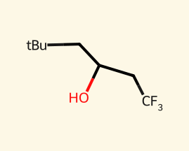 CC(C)(C)CC(O)CC(F)(F)F